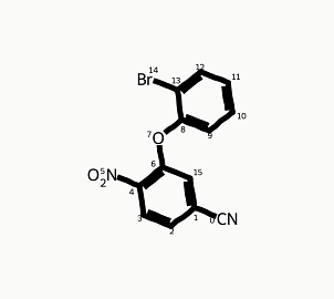 N#Cc1ccc([N+](=O)[O-])c(Oc2ccccc2Br)c1